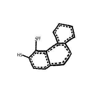 Sc1ccc2ccc3ccccc3c2c1S